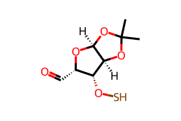 CC1(C)O[C@@H]2O[C@@H](C=O)[C@@H](OS)[C@@H]2O1